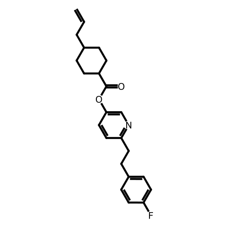 C=CCC1CCC(C(=O)Oc2ccc(CCc3ccc(F)cc3)nc2)CC1